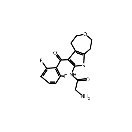 NCC(=O)Nc1sc2c(c1C(=O)c1c(F)cccc1F)CCOCC2